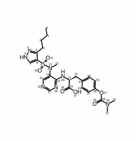 CCCCc1n[nH]cc1S(=O)(=O)N(C)c1cncnc1N[C@@H](Cc1ccc(OC(=O)N(C)C)cc1)C(=O)O